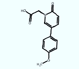 COc1ccc(-c2ccc(=O)n(CC(=O)O)c2)cc1